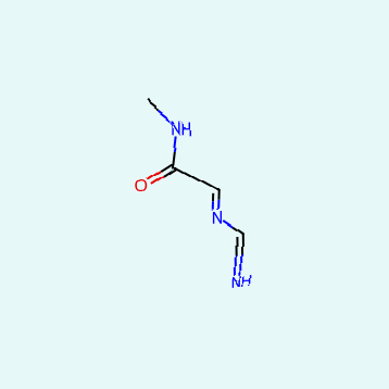 CNC(=O)/C=N/C=N